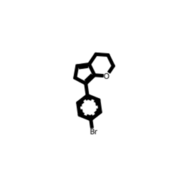 Brc1ccc(C2=C3OCCCC3=CC2)cc1